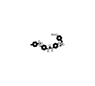 COc1ccc(CS(=O)(=O)Oc2ccc(NC(=O)Nc3ccc(OS(=O)(=O)c4ccc(C)cc4)cc3)cc2)cc1